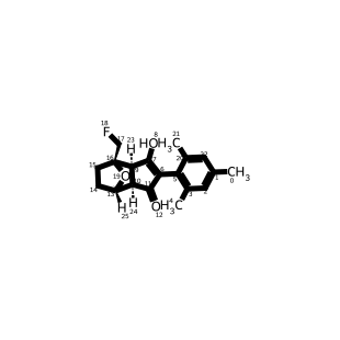 Cc1cc(C)c(C2=C(O)[C@H]3[C@@H](C2=O)[C@@H]2CC[C@@]3(CF)O2)c(C)c1